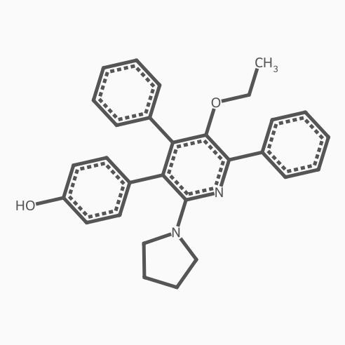 CCOc1c(-c2ccccc2)nc(N2CCCC2)c(-c2ccc(O)cc2)c1-c1ccccc1